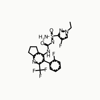 CCn1cc(F)c([S@](N)(=O)=NC(=O)Nc2c3c(nc(C(F)(F)F)c2-c2ccccc2F)CCC3)n1